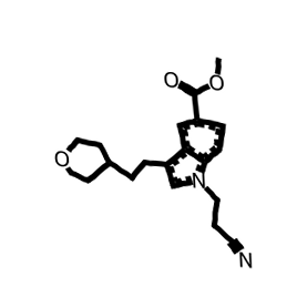 COC(=O)c1ccc2c(c1)c(CCC1CCOCC1)cn2CCC#N